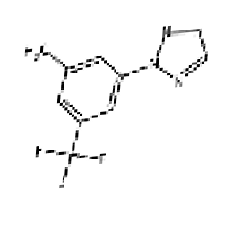 Cc1cc(-n2nccn2)cc(C(F)(F)F)c1